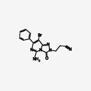 N#CCCn1nc2c(Br)c(-c3ccccc3)nc(N)n2c1=O